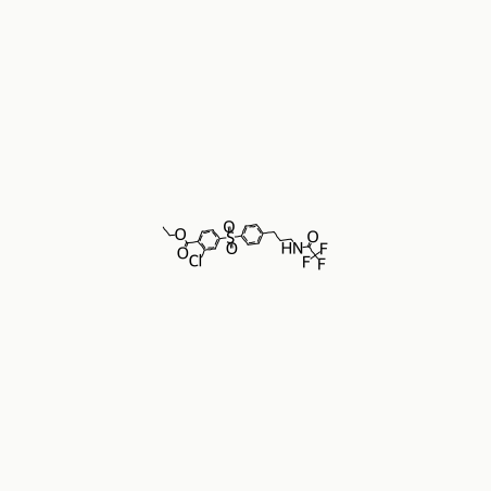 CCOC(=O)c1ccc(S(=O)(=O)c2ccc(CCCNC(=O)C(F)(F)F)cc2)cc1Cl